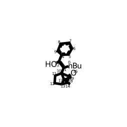 CCCCC(=C(O)c1ccccc1)C12CCC(CC1=O)C2(C)C